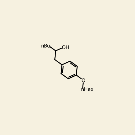 [CH2]CCCC(O)Cc1ccc(OCCCCCC)cc1